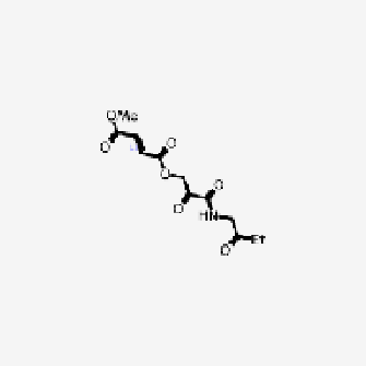 CCC(=O)CNC(=O)C(=O)COC(=O)/C=C/C(=O)OC